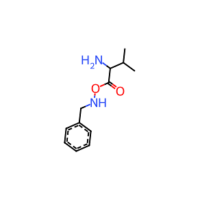 CC(C)C(N)C(=O)ONCc1ccccc1